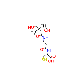 CC(C)(CO)[C@@H](O)C(=O)NCCC(=O)N[C@@H](CS)C(=O)O